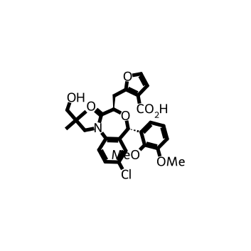 COc1cccc([C@H]2O[C@H](Cc3occc3C(=O)O)C(=O)N(CC(C)(C)CO)c3ccc(Cl)cc32)c1OC